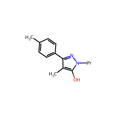 Cc1ccc(-c2nn(C(C)C)c(O)c2C)cc1